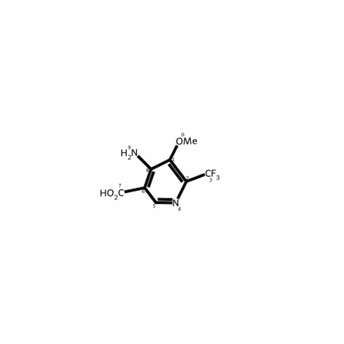 COc1c(C(F)(F)F)ncc(C(=O)O)c1N